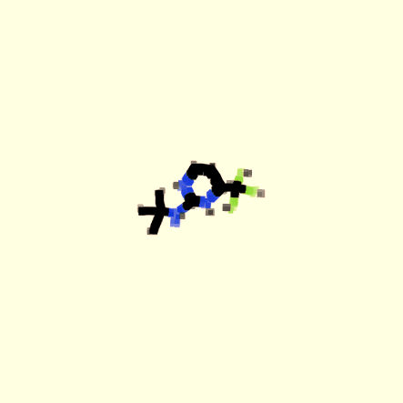 CC(C)(C)Nc1nccc(C(F)(F)F)n1